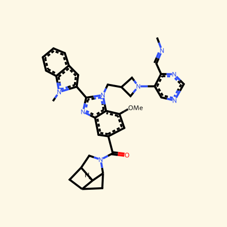 C/N=C/c1ncncc1N1CC(Cn2c(-c3cc4ccccc4n3C)nc3cc(C(=O)N4CC5CC6CC4[C@H]65)cc(OC)c32)C1